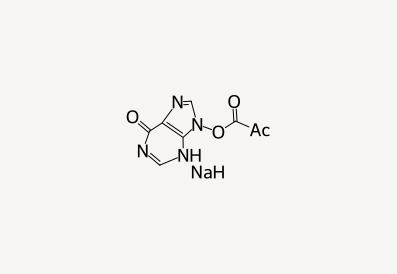 CC(=O)C(=O)On1cnc2c(=O)nc[nH]c21.[NaH]